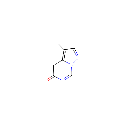 O=C1Cc2c(C(=O)O)cnn2C=N1